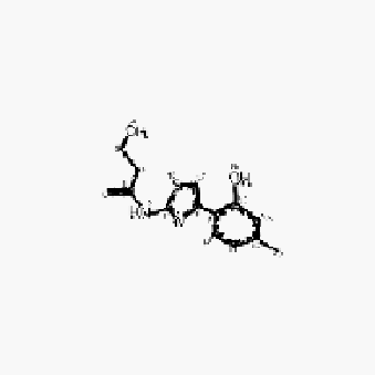 C=C(CCO)Nc1nc(-c2ccc(C)cc2O)cs1